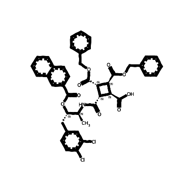 C[C@H](NC(=O)[C@H]1[C@H](C(=O)O)[C@H](C(=O)OCc2ccccc2)[C@H]1C(=O)OCc1ccccc1)[C@H](Cc1ccc(Cl)c(Cl)c1)OC(=O)c1ccc2ccccc2c1